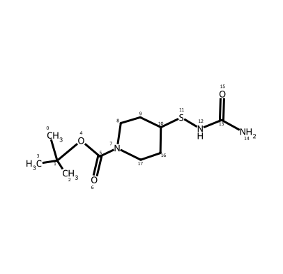 CC(C)(C)OC(=O)N1CCC(SNC(N)=O)CC1